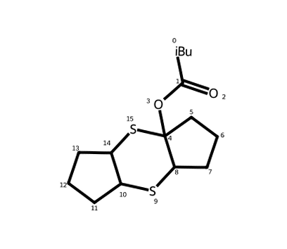 CCC(C)C(=O)OC12CCCC1SC1CCCC1S2